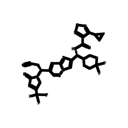 N#CC[C@@H](c1cnn2cc([C@H](NC(=O)c3nonc3C3CC3)C3CCC(F)(F)CC3)nc2c1)N1CC(C(F)(F)F)=NC1=O